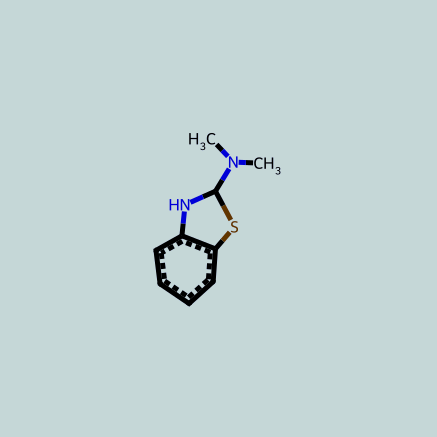 CN(C)C1Nc2ccccc2S1